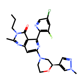 CCCn1c(C)nc2cc(N3CCO[C@H](c4cnn(C)c4)C3)nc(-c3ncc(Cl)cc3F)c2c1=O